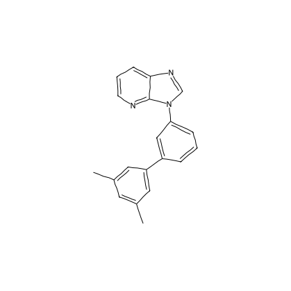 Cc1cc(C)cc(-c2cccc(-n3cnc4cccnc43)c2)c1